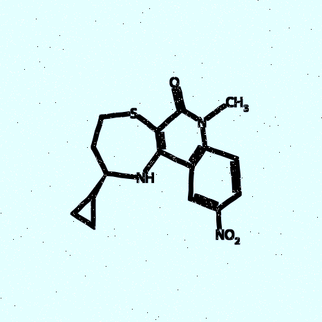 Cn1c(=O)c2c(c3cc([N+](=O)[O-])ccc31)N[C@@H](C1CC1)CCS2